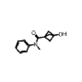 CN(C(=O)C12CC(O)(C1)C2)c1ccccc1